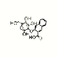 O=C(O)c1cc2ccccc2cc1O[C@@H]1[C@@H](O)[C@H](O)[C@@H](CO)O[C@@H]1O